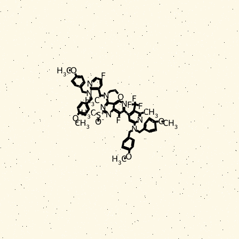 COc1ccc(CN(Cc2ccc(OC)cc2)c2cc(-c3nc4c5c(nc([S+](C)[O-])nc5c3F)N(C(C)c3cc(F)cnc3N(Cc3ccc(OC)cc3)Cc3ccc(OC)cc3)CCO4)c(C(F)(F)F)c(C)n2)cc1